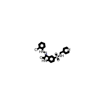 O=C1Nc2ccc(S(=O)(=O)NCc3ccncc3)cc2/C1=N/Nc1ccccc1Cl